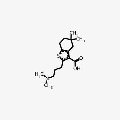 CN(C)CCCc1sc2c(c1C(=O)O)CC(C)(C)CC2